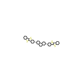 c1ccc2c(c1)sc1c3ccc(-c4ccc5c(ccc6cc(-c7ccc8c(c7)sc7c9ccccc9sc87)ccc65)c4)cc3sc21